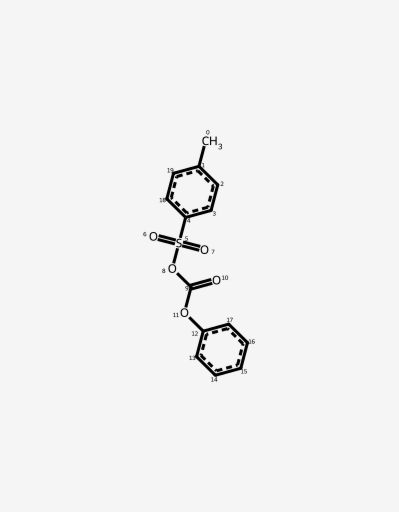 Cc1ccc(S(=O)(=O)OC(=O)Oc2ccccc2)cc1